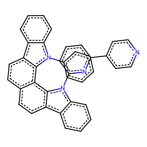 c1ccc(-n2c3ccccc3c3ccc4ccc5c6ccccc6n(-c6cccc(-c7ccncc7)n6)c5c4c32)cc1